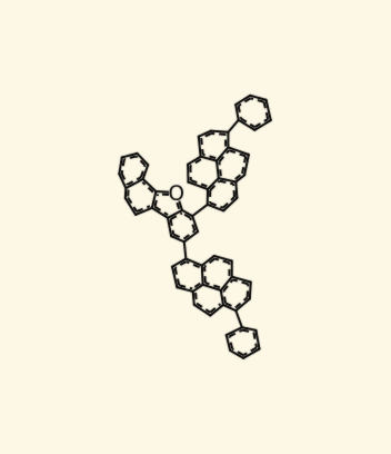 c1ccc(-c2ccc3ccc4c(-c5cc(-c6ccc7ccc8c(-c9ccccc9)ccc9ccc6c7c98)c6oc7c8ccccc8ccc7c6c5)ccc5ccc2c3c54)cc1